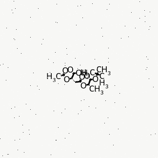 CC(=O)O[C@@H](CC(=O)O[C@@H](C)C(=O)OC(C)(C)C)C(=O)O